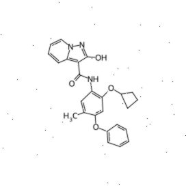 Cc1cc(NC(=O)c2c(O)nn3ccccc23)c(OC2CCC2)cc1Oc1ccccc1